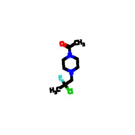 CC(=O)N1CCN(CC(C)(F)Cl)CC1